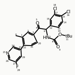 Cc1cc(C(=O)C(NC(=O)OC(C)(C)C)c2ccc(Cl)c(Cl)c2)ccc1-c1cncc(F)c1